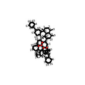 CC1C=CC2(C)C3=C1C(C)C=C(c1ccc4c(c1)-c1ccccc1C41c4ccccc4-n4c5ccccc5c5cccc1c54)C3(C)N(c1cccc(-c3ccccc3)c1)c1ccc(-c3ccccc3)cc12